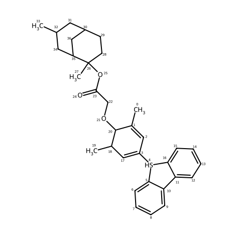 CC1=CC([SH]2c3ccccc3-c3ccccc32)=CC(C)C1OCC(=O)OC1(C)CCC2CC(C)CC1C2